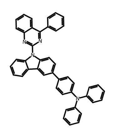 c1ccc(-c2nc(-n3c4ccccc4c4cc(-c5ccc(N(c6ccccc6)c6ccccc6)cc5)ccc43)nc3ccccc23)cc1